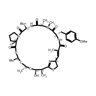 CC[C@H](C)[C@@H]1NC(=O)[C@H](C)N(C)C(=O)[C@H](Cc2ccc(OC)cc2)NC(=O)/C(C)=C/[C@H]2CSC(=N2)[C@@H](C)[C@@H](O)C[C@H](C)C[C@@H](C(C)(C)C)OC(=O)[C@@H]2CCCN2C1=O